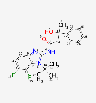 CC(O)(CC(=O)Nc1nc2ccc(F)c(F)c2n1C(C)(C)C)c1ccccc1